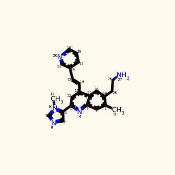 Cc1cc2nc(-c3cncn3C)cc(/C=C/c3cccnc3)c2cc1CCN